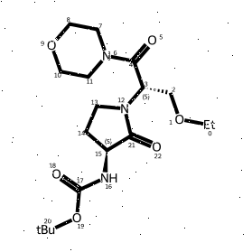 CCOC[C@@H](C(=O)N1CCOCC1)N1CC[C@H](NC(=O)OC(C)(C)C)C1=O